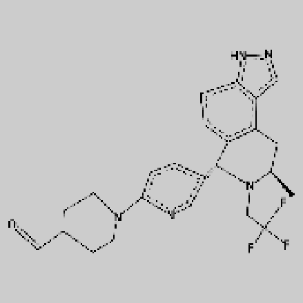 C[C@@H]1Cc2c(ccc3[nH]ncc23)[C@@H](c2ccc(N3CCC(C=O)CC3)nc2)N1CC(F)(F)F